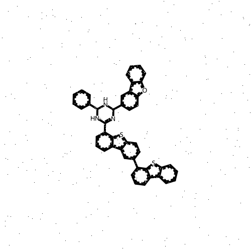 c1ccc(C2NC(c3cccc4c3sc3ccc(-c5cccc6c5sc5ccccc56)cc34)=NC(c3ccc4oc5ccccc5c4c3)N2)cc1